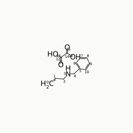 C=CCNCc1ccccc1.O=C(O)C(=O)O